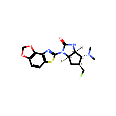 CN(C)[C@@H]1[C@@H](CF)C[C@@H]2[C@H]1NC(=O)N2c1nc2c3c(ccc2s1)OCO3